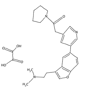 CN(C)CCc1coc2ccc(-c3cncc(CC(=O)N4CCCCC4)c3)cc12.O=C(O)C(=O)O